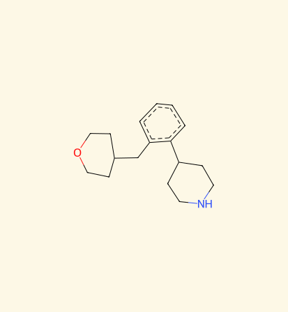 c1ccc(C2CCNCC2)c(CC2CCOCC2)c1